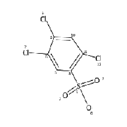 [O]S(=O)(=O)c1cc(Cl)c(Cl)cc1Cl